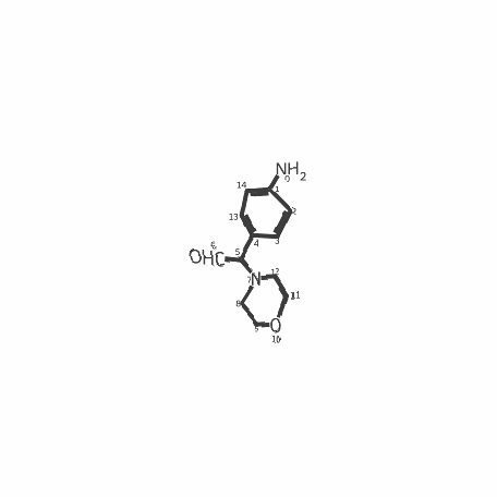 Nc1ccc(C(C=O)N2CCOCC2)cc1